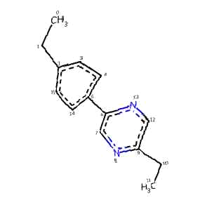 CCc1ccc(-c2cnc(CC)cn2)cc1